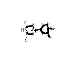 Cc1cc(N2C[C@@H](C)N[C@@H](C)C2)ccc1F